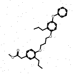 CCCc1cc(CC(=O)OC)ccc1OCCCOc1ccc(Oc2ccccc2)cc1CCC